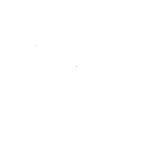 CN(C)c1ccc(C(=O)Nc2ccc3[nH]c(-c4ccc5ccn(C)c5c4)nc3c2)cc1